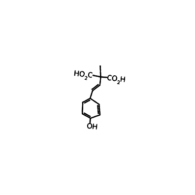 CC(C=Cc1ccc(O)cc1)(C(=O)O)C(=O)O